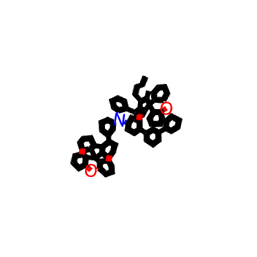 C=C/C=C\C1=C(C)C2(c3ccccc3Oc3ccccc32)c2cccc(-c3ccccc3N(c3ccc(-c4cccc(-c5ccccc5)c4)cc3)c3cccc(-c4cccc5c4-c4ccccc4C54c5ccccc5Oc5ccccc54)c3)c21